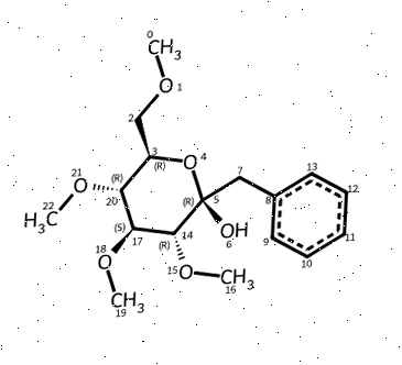 COC[C@H]1O[C@](O)(Cc2ccccc2)[C@H](OC)[C@@H](OC)[C@@H]1OC